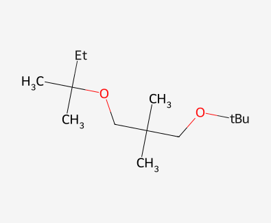 CCC(C)(C)OCC(C)(C)COC(C)(C)C